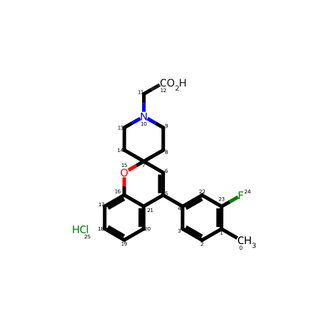 Cc1ccc(C2=CC3(CCN(CC(=O)O)CC3)Oc3ccccc32)cc1F.Cl